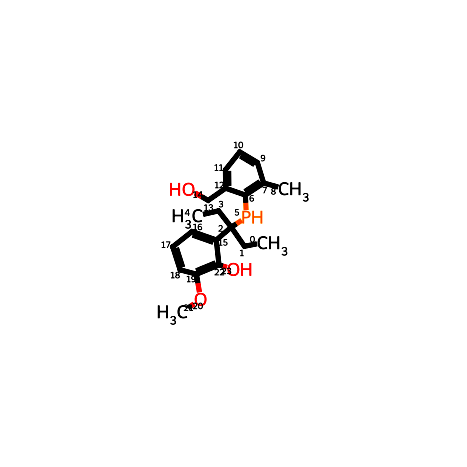 CCC(CC)(Pc1c(C)cccc1CO)c1cccc(OC)c1O